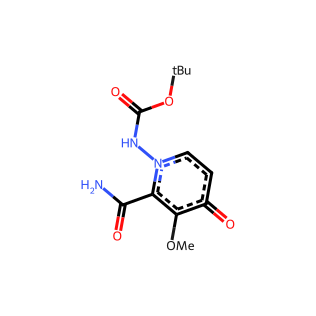 COc1c(C(N)=O)n(NC(=O)OC(C)(C)C)ccc1=O